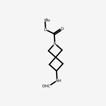 CC(C)(C)OC(=O)N1CC2(CC(NC=O)C2)C1